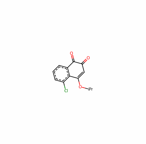 CC(C)OC1=CC(=O)C(=O)c2cccc(Cl)c21